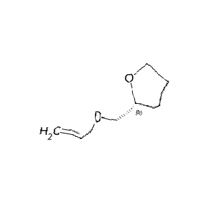 C=COC[C@H]1CCCO1